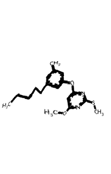 CCCCCc1cc(C)cc(Oc2cc(OC)nc(SC)n2)c1